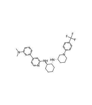 CN(C)c1cccc(-c2ccnc(N[C@@H]3CCCC[C@H]3N[C@H]3CCCN(c4ccc(C(F)(F)F)cc4)C3)c2)c1